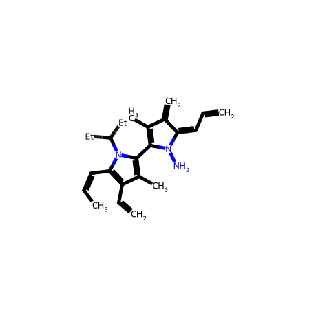 C=C/C=c1\c(=C)c(C)c(-c2c(C)c(C=C)c(/C=C\C)n2C(CC)CC)n1N